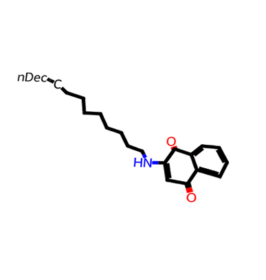 CCCCCCCCCCCCCCCCCCCNC1=CC(=O)c2ccccc2C1=O